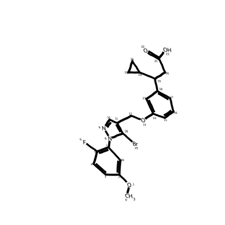 COc1ccc(F)c(-n2ncc(COc3cccc(C(CC(=O)O)C4CC4)c3)c2Br)c1